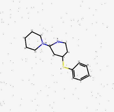 c1ccc(SC2CC[N]C(N3CCCCC3)C2)cc1